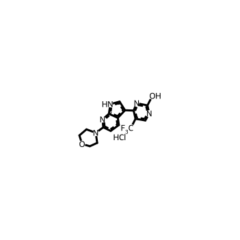 Cl.Oc1ncc(C(F)(F)F)c(-c2c[nH]c3nc(N4CCOCC4)ccc23)n1